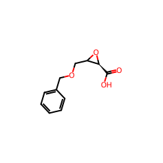 O=C(O)[C@@H]1OC1COCc1ccccc1